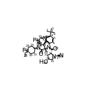 CC(C)(C)c1ccc(N(C(=O)[C@H]2C[C@@H](O)CN2C#N)C(C)(C(=O)NC2CCC(F)(F)CC2)c2cncc(F)n2)cc1